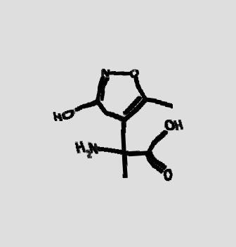 Cc1onc(O)c1C(C)(N)C(=O)O